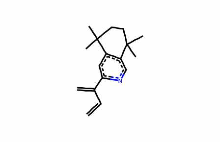 C=CC(=C)c1cc2c(cn1)C(C)(C)CCC2(C)C